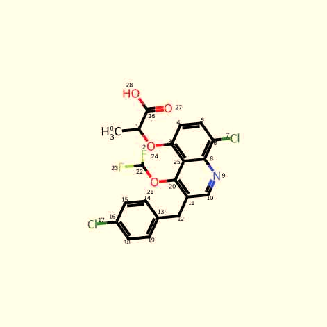 CC(Oc1ccc(Cl)c2ncc(Cc3ccc(Cl)cc3)c(OC(F)F)c12)C(=O)O